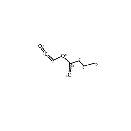 CCCC(=O)OC=C=O